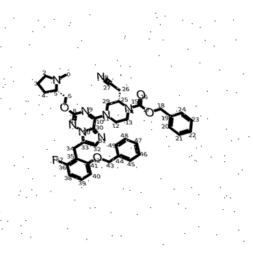 CN1CCC[C@H]1COc1nc(N2CCN(C(=O)OCc3ccccc3)[C@@H](CC#N)C2)c2ncc(Cc3c(F)cccc3OCc3ccccc3)n2n1